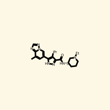 CCN1CCC[C@H](NC(=O)c2n[nH]c(-c3cc(C)c4ncnn4c3)c2C(C)C)C1